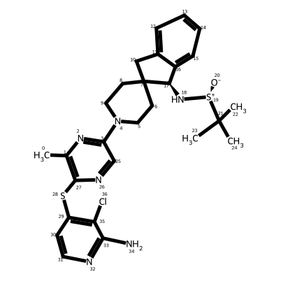 Cc1nc(N2CCC3(CC2)Cc2ccccc2[C@H]3N[S@+]([O-])C(C)(C)C)cnc1Sc1ccnc(N)c1Cl